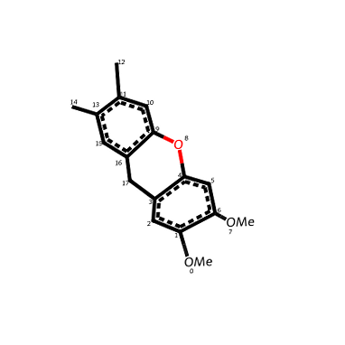 COc1cc2c(cc1OC)Oc1cc(C)c(C)cc1C2